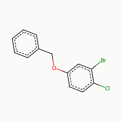 Clc1c[c]c(OCc2ccccc2)cc1Br